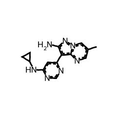 Cc1cnc2c(-c3cc(NC4CC4)ncn3)c(N)nn2c1